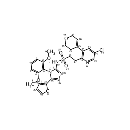 COc1cccc(OC)c1-n1c(NS(=O)(=O)CCc2ncc(Cl)cc2C2=CCOCC2)nnc1-c1ccco1